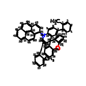 Cc1ccccc1-c1ccc2c(c1)C1(c3ccccc3Oc3ccccc31)c1cc(-c3ccccc3C)ccc1N2c1ccc2ccc3cccc4ccc1c2c34